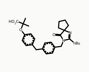 CCCCC1=NC2(CCCC2)C(=O)N1Cc1ccc(Cc2ccc(OC(C)(C)C(=O)O)cc2)cc1